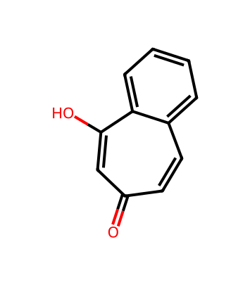 O=c1ccc2ccccc2c(O)c1